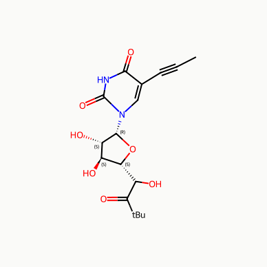 CC#Cc1cn([C@@H]2O[C@H](C(O)C(=O)C(C)(C)C)[C@@H](O)[C@@H]2O)c(=O)[nH]c1=O